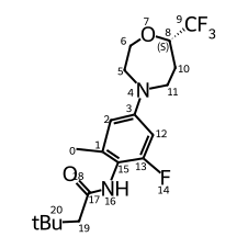 Cc1cc(N2CCO[C@H](C(F)(F)F)CC2)cc(F)c1NC(=O)CC(C)(C)C